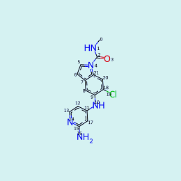 CNC(=O)n1ccc2cc(Nc3ccnc(N)c3)c(Cl)cc21